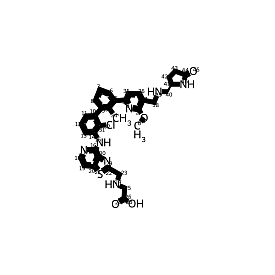 COc1nc(-c2cccc(-c3cccc(Nc4nccc5sc(CNCC(=O)O)nc45)c3Cl)c2C)ccc1CNC[C@H]1CCC(=O)N1